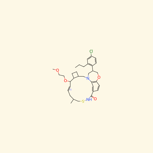 CCCc1cc(Cl)ccc1C1COc2ccc3cc2N(C1)CC1CCC1C(OCCOC)/C=C/CC(C)CSNC3=O